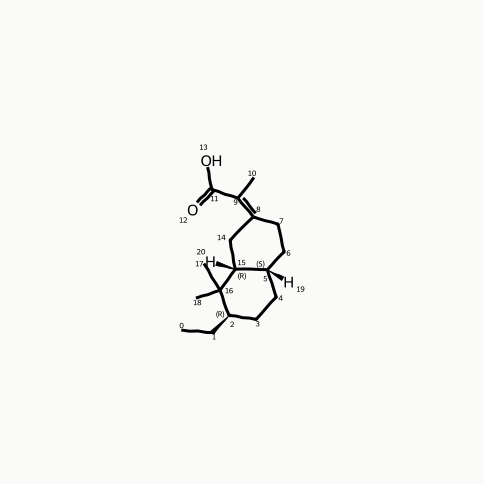 CC[C@@H]1CC[C@H]2CCC(=C(C)C(=O)O)C[C@H]2C1(C)C